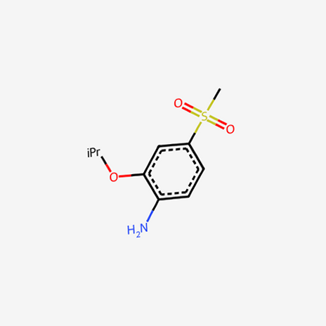 CC(C)Oc1cc(S(C)(=O)=O)ccc1N